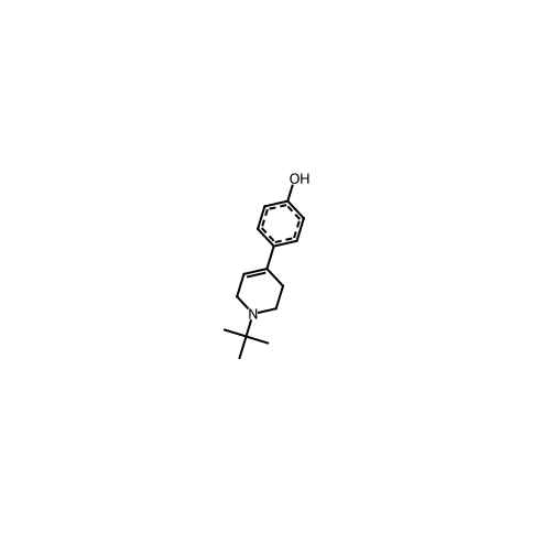 CC(C)(C)N1CC=C(c2ccc(O)cc2)CC1